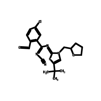 CC(C)(C)c1cn(CC2CCCO2)c(=NC(=NC#N)c2cc(Cl)ccc2C=O)s1